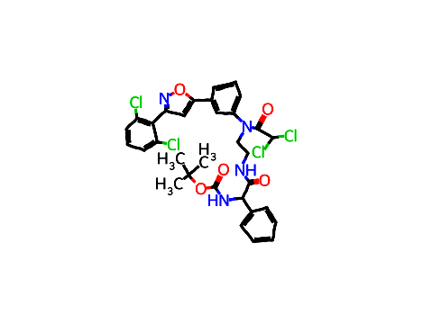 CC(C)(C)OC(=O)NC(C(=O)NCCN(C(=O)C(Cl)Cl)c1cccc(-c2cc(-c3c(Cl)cccc3Cl)no2)c1)c1ccccc1